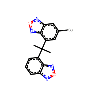 CC(C)(C)c1cc(C(C)(C)c2cccc3nonc23)c2nonc2c1